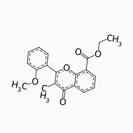 CCOC(=O)c1cccc2c(=O)c(C)c(-c3ccccc3OC)oc12